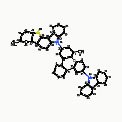 N#Cc1cc(-c2ccccc2-c2cccc(-n3c4ccccc4c4ccccc43)c2)cc(-n2c3ccccc3c3c4sc5ccc(C#N)cc5c4ccc32)c1